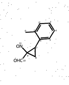 Cc1ccccc1C1CC1(C=O)N=O